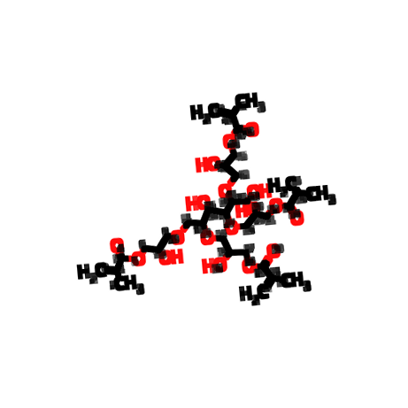 C=C(C)C(=O)OCC(O)COCC(OCC(O)COC(=O)C(=C)C)C(O)C(OCC(O)COC(=O)C(=C)C)C(CO)OCC(O)COC(=O)C(=C)C